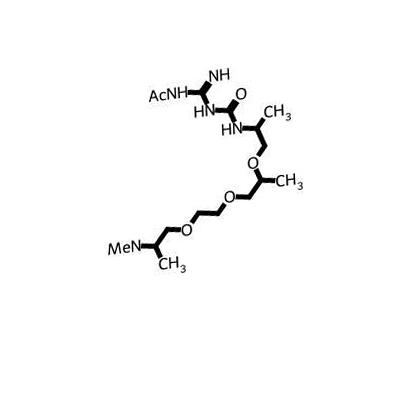 CNC(C)COCCOCC(C)OCC(C)NC(=O)NC(=N)NC(C)=O